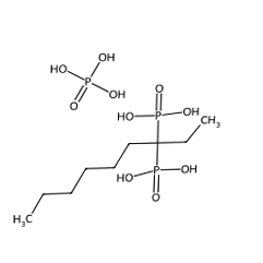 CCCCCCC(CC)(P(=O)(O)O)P(=O)(O)O.O=P(O)(O)O